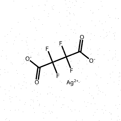 O=C([O-])C(F)(F)C(F)(F)C(=O)[O-].[Ag+2]